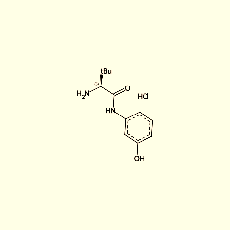 CC(C)(C)[C@H](N)C(=O)Nc1cccc(O)c1.Cl